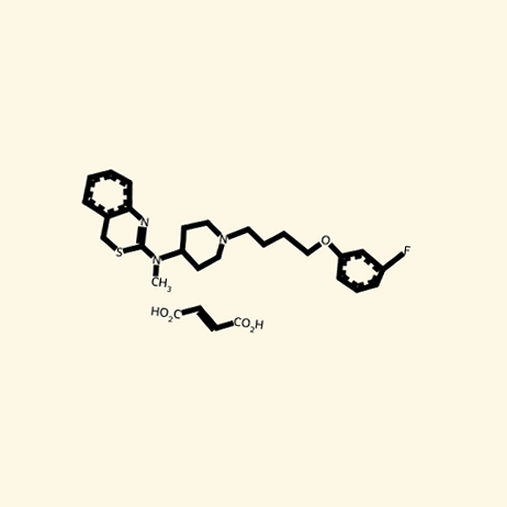 CN(C1=Nc2ccccc2CS1)C1CCN(CCCCOc2cccc(F)c2)CC1.O=C(O)C=CC(=O)O